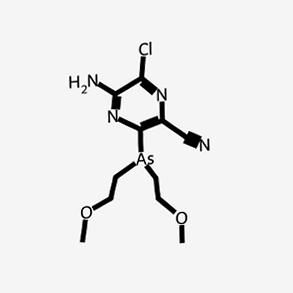 COCC[As](CCOC)c1nc(N)c(Cl)nc1C#N